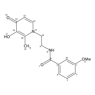 COc1cccc(C(=O)NCCn2ccc(=O)c(O)c2C)c1